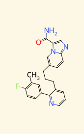 Cc1cc(-c2ncccc2CCCc2ccc3ncc(C(N)=O)n3c2)ccc1F